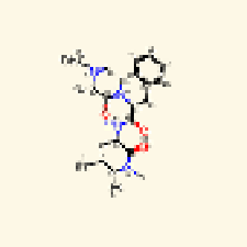 CC(=O)[C@H](CC(C)C)N(C)C(=O)C(C)NC(=O)[C@H](Cc1ccccc1)N(C)C(=O)[C@H](C)N(C)C=O